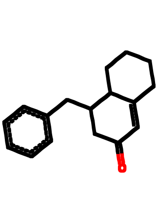 O=C1C=C2CCCCC2C(Cc2ccccc2)C1